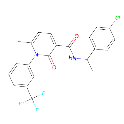 Cc1ccc(C(=O)NC(C)c2ccc(Cl)cc2)c(=O)n1-c1cccc(C(F)(F)F)c1